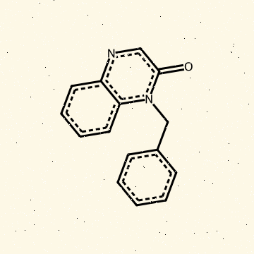 O=c1cnc2ccccc2n1Cc1ccccc1